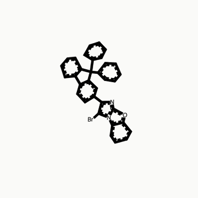 Brc1c(-c2ccc3c(c2)C(c2ccccc2)(c2ccccc2)c2ccccc2-3)nc2oc3ccccc3n12